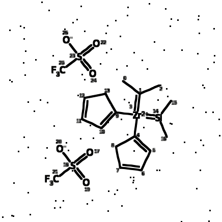 C[C](C)=[Zr+2]([C]1=CC=CC1)([C]1=CC=CC1)=[Si](C)C.O=S(=O)([O-])C(F)(F)F.O=S(=O)([O-])C(F)(F)F